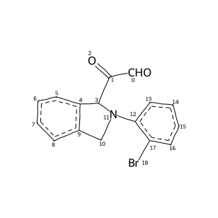 O=CC(=O)C1c2ccccc2CN1c1ccccc1Br